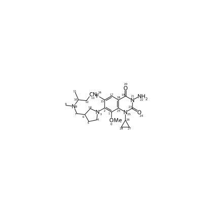 COc1c(N2CCC(CN(C)C(C)CC#N)C2)c(F)cc2c(=O)n(N)c(=O)n(C3CC3)c12